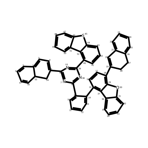 C1=CC2=CC=C(c3nc(-c4ccccc4-c4ccc(C5=Cc6ccccc6CC5)c5oc6ccccc6c45)nc(-c4cccc5sc6ccccc6c45)n3)CC2C=C1